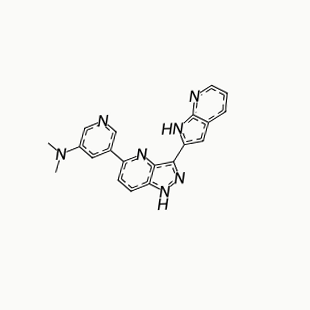 CN(C)c1cncc(-c2ccc3[nH]nc(-c4cc5cccnc5[nH]4)c3n2)c1